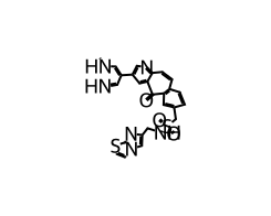 CN/C=C(\C=N)c1cnc2ccc3ccc(CS(=O)(=O)NCc4cn5ccsc5n4)cc3c(=O)c2c1